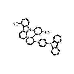 N#Cc1ccc(-n2c3ccccc3c3c(C#N)cccc32)c(-c2ccccc2-c2ccc(-n3c4ccccc4c4ccccc43)cc2)c1